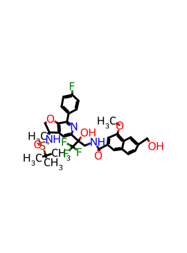 COc1cc(C(=O)NCC(O)(c2cc3c(c(-c4ccc(F)cc4)n2)OC[C@@]3(C)N[S+]([O-])C(C)(C)C)C(F)(F)F)cc2ccc(CO)cc12